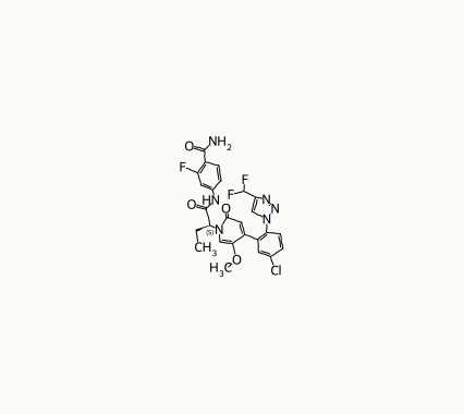 CC[C@@H](C(=O)Nc1ccc(C(N)=O)c(F)c1)n1cc(OC)c(-c2cc(Cl)ccc2-n2cc(C(F)F)nn2)cc1=O